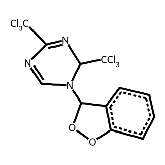 ClC(Cl)(Cl)C1=NC(C(Cl)(Cl)Cl)N(C2OOc3ccccc32)C=N1